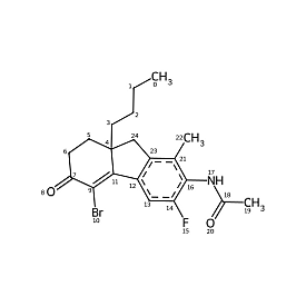 CCCCC12CCC(=O)C(Br)=C1c1cc(F)c(NC(C)=O)c(C)c1C2